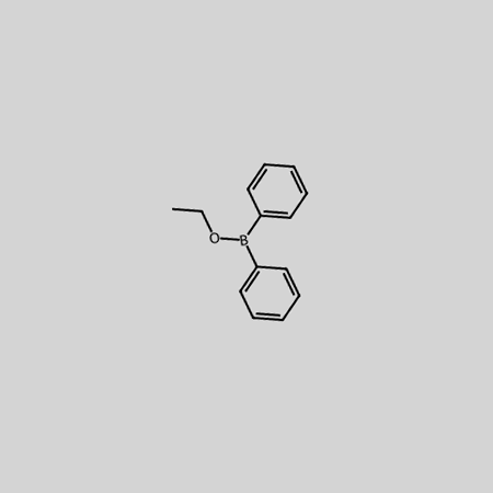 CCOB(c1ccccc1)c1ccccc1